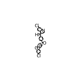 O=C(c1ccc(Nc2ccnc3cc(Cl)ccc23)cc1)N1CC[N+]([O-])(c2ccc(Cl)cc2)CC1